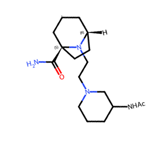 CC(=O)NC1CCCN(CCN2[C@@H]3C[CH]C[C@@]2(C(N)=O)CC3)C1